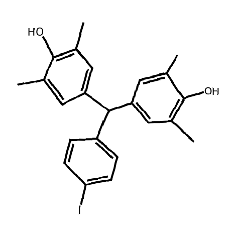 Cc1cc(C(c2ccc(I)cc2)c2cc(C)c(O)c(C)c2)cc(C)c1O